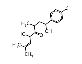 CC(C)=CC(O)C(=O)C(C)CC(O)c1ccc(Cl)cc1